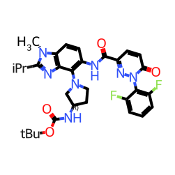 CC(C)c1nc2c(N3CC[C@@H](NC(=O)OC(C)(C)C)C3)c(NC(=O)c3ccc(=O)n(-c4c(F)cccc4F)n3)ccc2n1C